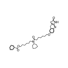 O=C1CN2Cc3cc(OCCCCCCC(=O)N(CCCCCCOC(=O)c4ccccc4)C4CCCCC4)ccc3N=C2N1